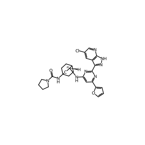 O=C(NC12CCC(CC1)[C@H](Nc1cc(-c3ccco3)nc(-c3n[nH]c4ncc(Cl)cc34)n1)C2)N1CCCC1